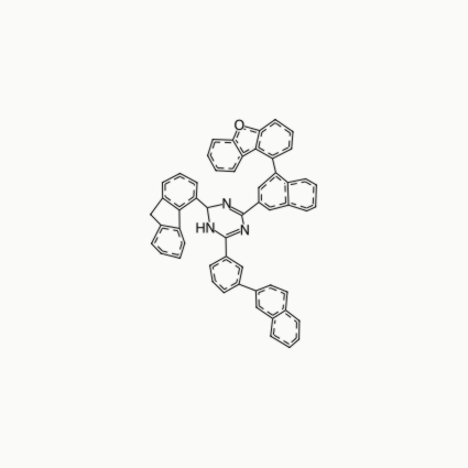 c1cc(C2=NC(c3cc(-c4cccc5oc6ccccc6c45)c4ccccc4c3)=NC(c3cccc4c3-c3ccccc3C4)N2)cc(-c2ccc3ccccc3c2)c1